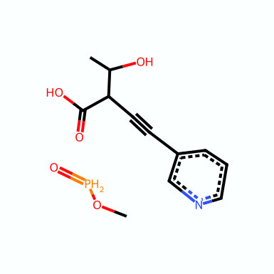 CC(O)C(C#Cc1cccnc1)C(=O)O.CO[PH2]=O